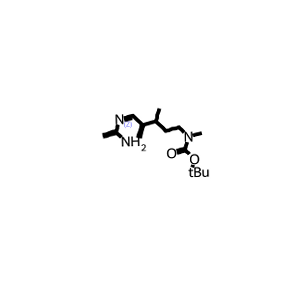 C=C(N)/N=C\C(=C)C(C)CCN(C)C(=O)OC(C)(C)C